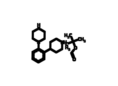 CC(C)(C)OC=O.c1ccc(N2CCNCC2)c(C2CCNCC2)c1